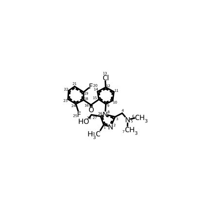 Cc1nc(CN(C)C)n(-c2ccc(Cl)cc2C(=O)c2c(F)cccc2F)c1CO